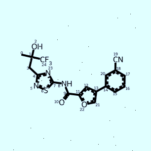 CC(O)(Cc1nsc(NC(=O)c2cc(-c3cccc(C#N)c3)co2)n1)C(F)(F)F